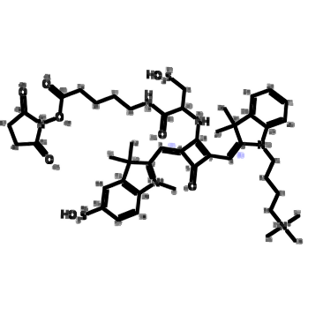 C[N+]1=C(/C=C2\C(=O)C(/C=C3/N(CCCC[N+](C)(C)C)c4ccccc4C3(C)C)=C2NC(CS(=O)(=O)O)C(=O)NCCCCC(=O)ON2C(=O)CCC2=O)C(C)(C)c2cc(S(=O)(=O)O)ccc21